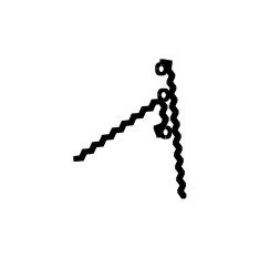 CCCCCCCCCCCCCCCCCC(CCCC1CCO1)OC(CCCCCCCCCCCCCCCCC)CCCC1CCO1